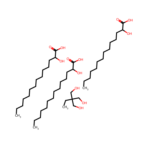 CCC(CO)(CO)CO.CCCCCCCCCCCCC(O)C(=O)O.CCCCCCCCCCCCC(O)C(=O)O.CCCCCCCCCCCCC(O)C(=O)O